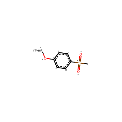 CCCCCOc1ccc(S(C)(=O)=O)cc1